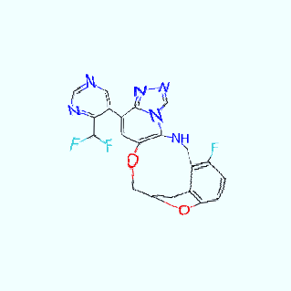 Fc1ccc2c3c1CNc1c(cc(-c4cncnc4C(F)F)c4nncn14)OCC(C3)O2